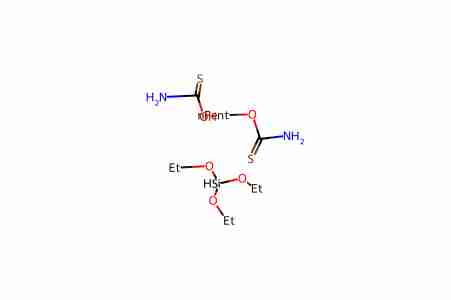 CCCCCOC(N)=S.CCO[SiH](OCC)OCC.NC(O)=S